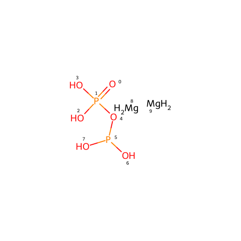 O=P(O)(O)OP(O)O.[MgH2].[MgH2]